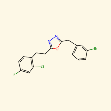 Fc1ccc(CCc2nnc(Cc3cccc(Br)c3)o2)c(Cl)c1